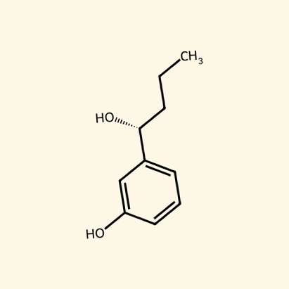 CCC[C@@H](O)c1cccc(O)c1